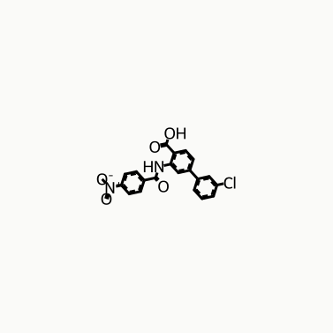 O=C(Nc1cc(-c2cccc(Cl)c2)ccc1C(=O)O)c1ccc([N+](=O)[O-])cc1